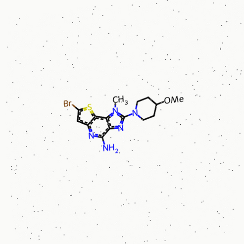 COC1CCN(c2nc3c(N)nc4cc(Br)sc4c3n2C)CC1